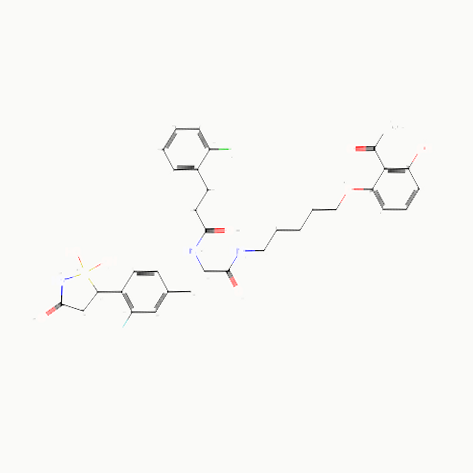 COC(=O)c1c(O)cccc1OCCCCCNC(=O)[C@H](Cc1ccc(C2CC(=O)NS2(O)O)c(F)c1)NC(=O)CCc1ccccc1Cl